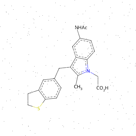 CC(=O)Nc1ccc2c(c1)c(Cc1ccc3c(c1)CCS3)c(C)n2CC(=O)O